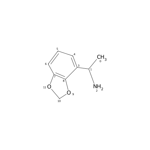 CC(N)c1cccc2c1OCO2